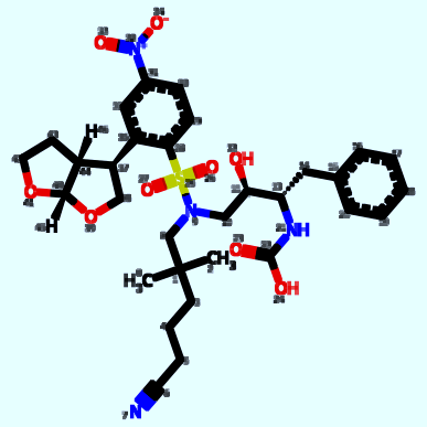 CC(C)(CCCC#N)CN(C[C@@H](O)[C@H](Cc1ccccc1)NC(=O)O)S(=O)(=O)c1ccc([N+](=O)[O-])cc1[C@H]1CO[C@@H]2OCC[C@@H]21